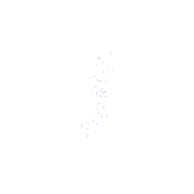 O=C(Nc1ccc(-c2nnc3c(C(=O)N[C@@H](Cc4ccc(O)cc4)C(=O)O)cccn23)cc1)Nc1ccccc1OC(F)(F)F